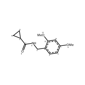 COc1ccc(CNC(=O)C2CC2)c(OC)c1